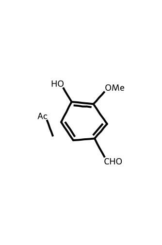 CC(C)=O.COc1cc(C=O)ccc1O